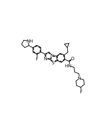 O=C(NCCCN1CCC(F)CC1)c1cc2sc3nc(-c4ccc(C5CCCN5)cc4F)cn3c2cc1CC1CC1